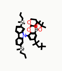 CCC[Si](C)(C)c1ccc2c3ccc([Si](C)(C)CCC)cc3n(-c3cc(C(C)(C)CC(C)(C)C)cc(B4OC(C)(C)C(C)(C)O4)c3OC3CCCCO3)c2c1